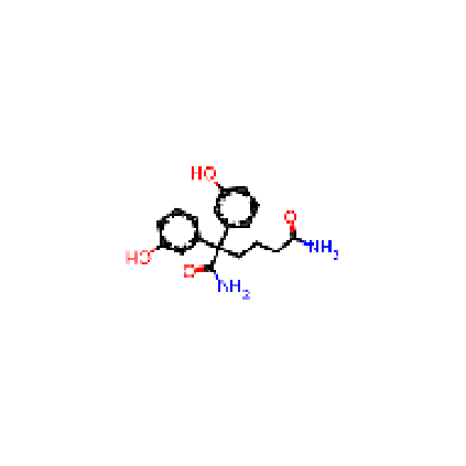 NC(=O)CCCC(C(N)=O)(c1cccc(O)c1)c1cccc(O)c1